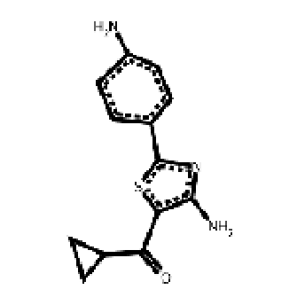 Nc1ccc(-c2nc(N)c(C(=O)C3CC3)s2)cc1